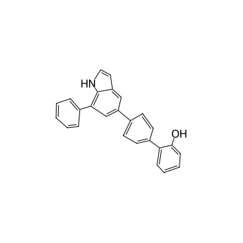 Oc1ccccc1-c1ccc(-c2cc(-c3ccccc3)c3[nH]ccc3c2)cc1